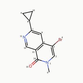 Cn1cc(Br)c2cc(C3CC3)ncc2c1=O